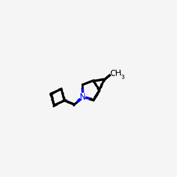 CC1C2CN(CC3CCC3)CC12